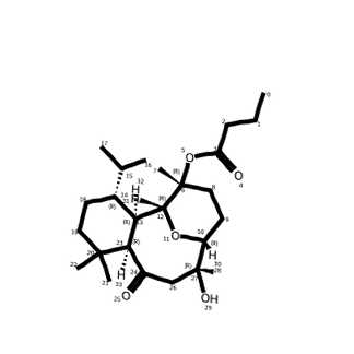 CCCC(=O)O[C@]1(C)CC[C@H]2O[C@@H]1[C@@H]1[C@@H](C(C)C)CCC(C)(C)[C@@H]1C(=O)C[C@@]2(C)O